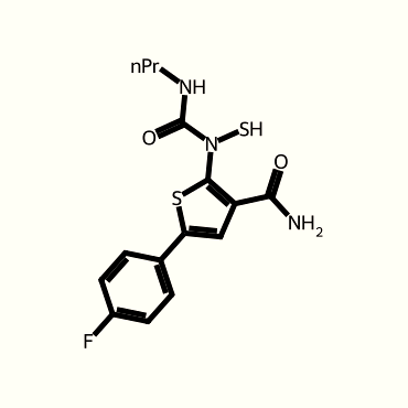 CCCNC(=O)N(S)c1sc(-c2ccc(F)cc2)cc1C(N)=O